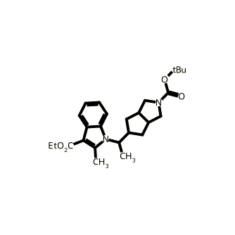 CCOC(=O)c1c(C)n(C(C)C2CC3CN(C(=O)OC(C)(C)C)CC3C2)c2ccccc12